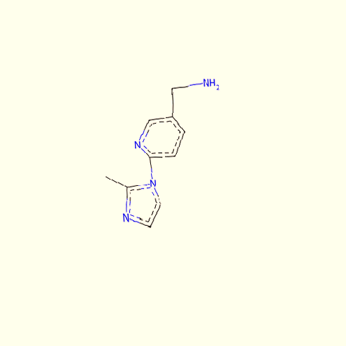 Cc1nccn1-c1ccc(CN)cn1